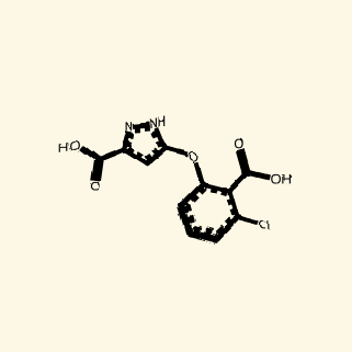 O=C(O)c1cc(Oc2cccc(Cl)c2C(=O)O)[nH]n1